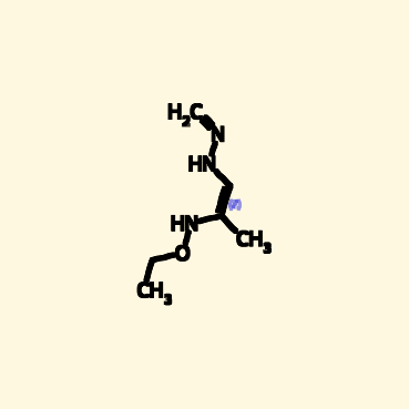 C=NN/C=C(/C)NOCC